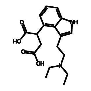 CCN(CC)CCc1c[nH]c2cccc(C(CC(=O)O)C(=O)O)c12